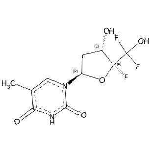 Cc1cn([C@H]2C[C@H](O)[C@@](F)(C(O)(F)F)O2)c(=O)[nH]c1=O